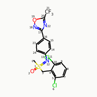 CS(=O)(Cc1c(Cl)cccc1Cl)=Nc1ccc(-c2noc(C(F)(F)F)n2)cc1